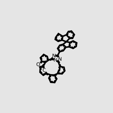 c1ccc2c(c1)-c1ccccc1C21c2ccccc2-c2cc(-c3nc4nc(n3)c3cccc5oc6ccc(cc6c53)c3ccccc3c3cccc4c3)ccc21